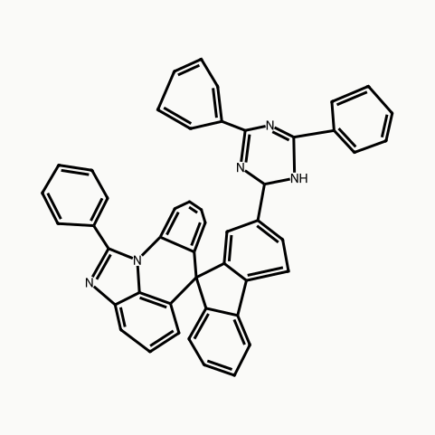 c1ccc(C2=NC(c3ccc4c(c3)C3(c5ccccc5-4)c4ccccc4-n4c(-c5ccccc5)nc5cccc3c54)NC(c3ccccc3)=N2)cc1